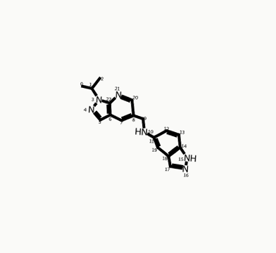 CC(C)n1ncc2cc(CNc3ccc4[nH]ncc4c3)cnc21